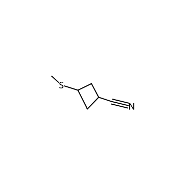 CSC1CC(C#N)C1